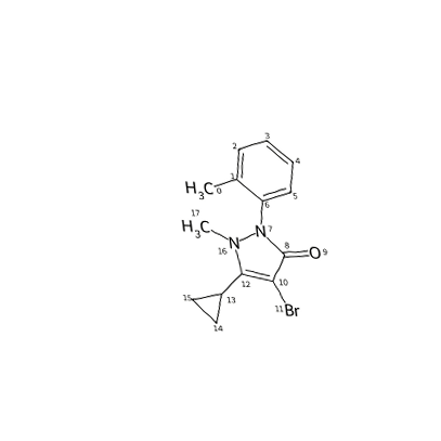 Cc1ccccc1-n1c(=O)c(Br)c(C2CC2)n1C